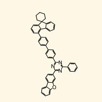 c1ccc(-c2nc(-c3ccc(-c4ccc(-c5cccc6c5-c5ccccc5C65CCCCC5)cc4)cc3)nc(-c3ccc4c(c3)oc3ccccc34)n2)cc1